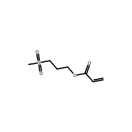 C=CC(=O)OCCCS(C)(=O)=O